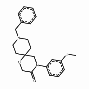 COc1cccc(N2CC3(CCN(Cc4ccccc4)CC3)OCC2=O)c1